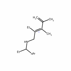 C=C(C)/C(C)=C(\CC)CNC(CC)CCC